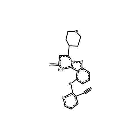 N#Cc1cccnc1Nc1cccc2nn3c(C4CCNCC4)cc(=O)[nH]c3c12